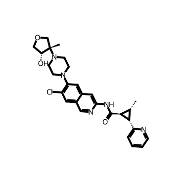 C[C@H]1[C@H](C(=O)Nc2cc3cc(N4CCN([C@@]5(C)COC[C@H]5O)CC4)c(Cl)cc3cn2)[C@H]1c1ccccn1